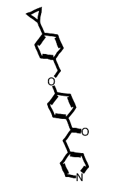 O=C(Cc1ccncc1)c1ccc(OCc2ccc(C3CC3)cc2)cc1